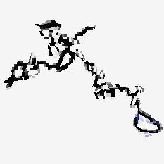 CCCCOC(=O)c1c(OC2CN(C(=O)Cc3cn(CCC(=O)OCC4=C/C/C=C\C/C=C\4)nn3)C2)ccc(CCB2OC3CCC(C)(C)CC3(C)O2)c1OC(=O)OC(C)(C)C